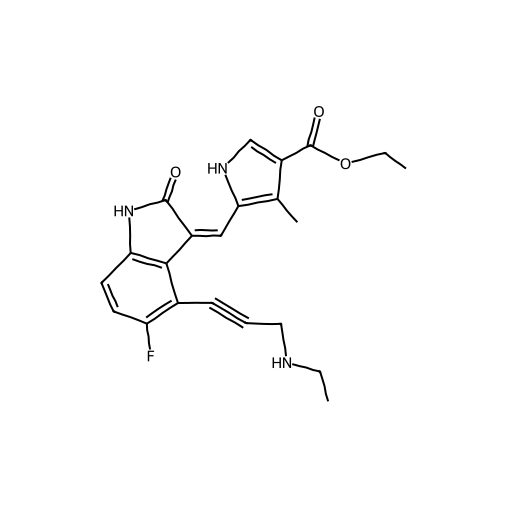 CCNCC#Cc1c(F)ccc2c1/C(=C/c1[nH]cc(C(=O)OCC)c1C)C(=O)N2